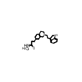 O=C(CCc1ccc2c(c1)CN(CCc1c[nH]c3ccccc13)CC2)NO